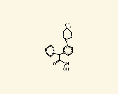 O=C(NO)C(c1ccccc1)c1cccc(N2CCC(C(F)(F)F)CC2)c1